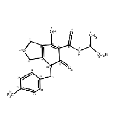 CC(NC(=O)c1c(O)c2c(n(Cc3ccc(C(F)(F)F)cc3)c1=O)COC2)C(=O)O